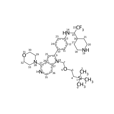 C[Si](C)(C)CCOCn1c(-c2ccc(NC(C3CCNCC3)C(F)(F)F)cc2)cc2c(N3CCOCC3)nccc21